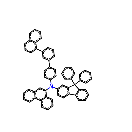 c1ccc(C2(c3ccccc3)c3ccccc3-c3ccc(N(c4ccc(-c5cccc(-c6cccc7ccccc67)c5)cc4)c4cc5ccccc5c5ccccc45)cc32)cc1